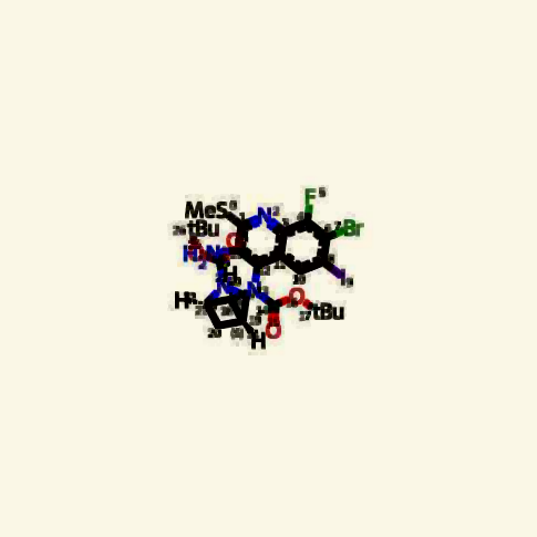 CSc1nc2c(F)c(Br)c(I)cc2c(N(C(=O)OC(C)(C)C)[C@H]2[C@H]3C[C@H]2N(C(=O)OC(C)(C)C)C3)c1N